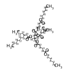 CCCCCCCOC(=O)CCCCC(=O)OCC(COC(=O)CCCCC(=O)OCCCCCCC)(COC(=O)CCN(C)C)COC(=O)CC(CCC)CCCCCCC